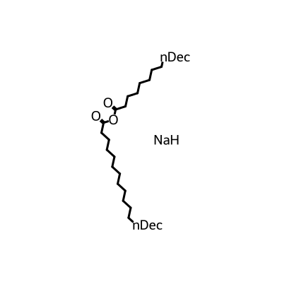 CCCCCCCCCCCCCCCCCCCCCC(=O)OC(=O)CCCCCCCCCCCCCCCCC.[NaH]